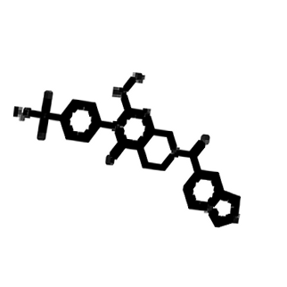 CC(C)Nc1nc2c(c(=O)n1-c1ccc(S(C)(=O)=O)cc1)CCN(C(=O)c1ccn3cncc3c1)C2